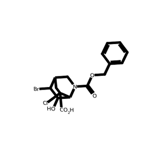 O=C(OCc1ccccc1)N1CC2CC(Cl)(C(=O)O)C1C(O)C2Br